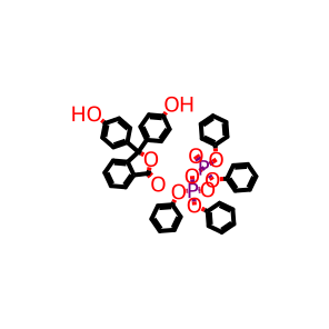 O=C1OC(c2ccc(O)cc2)(c2ccc(O)cc2)c2ccccc21.O=P(Oc1ccccc1)(Oc1ccccc1)OP(=O)(Oc1ccccc1)Oc1ccccc1